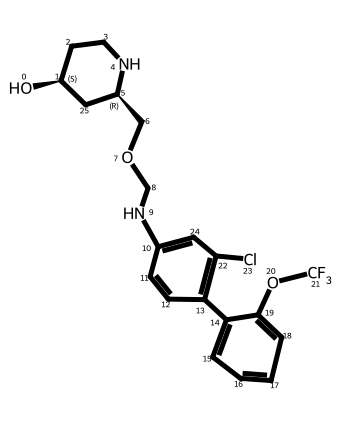 O[C@H]1CCN[C@@H](COCNc2ccc(-c3ccccc3OC(F)(F)F)c(Cl)c2)C1